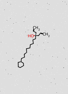 C=CCC(O)(CC=C)CCCCCCCCCCC1CCCCC1